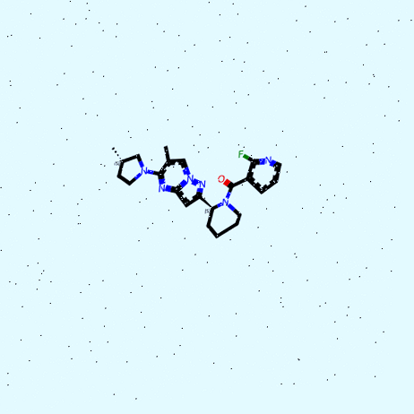 Cc1cn2nc([C@@H]3CCCCN3C(=O)c3cccnc3F)cc2nc1N1CC[C@H](C)C1